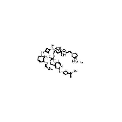 CC(C)(C)COc1cccc(O[C@H]2C[C@@H](NC(C)(CCC(C)(C)CCc3ccnc(O[C@H]4C[C@@H](NC(C)(C)C)C4)c3)CC(C)(C)OCCN3CC[C@H](NC(C)(C)C)C3)C2)c1